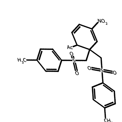 CC(=O)C1C=CC([N+](=O)[O-])=CC1(CS(=O)(=O)c1ccc(C)cc1)CS(=O)(=O)c1ccc(C)cc1